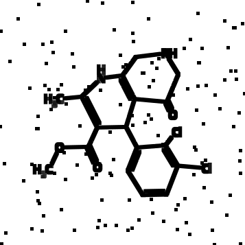 COC(=O)C1=C(C)NC2=C(C(=O)CNC2)C1c1cccc(Cl)c1Cl